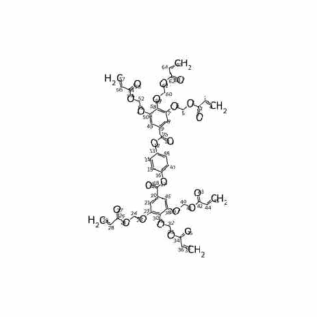 C=CC(=O)OCOc1cc(C(=O)Oc2ccc(OC(=O)c3cc(OCOC(=O)C=C)c(OCOC(=O)C=C)c(OCOC(=O)C=C)c3)cc2)cc(OCOC(=O)C=C)c1OCOC(=O)C=C